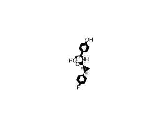 O=C(N[C@@H](CO)c1ccc(O)cc1)[C@H]1C[C@@H]1c1ccc(F)cc1